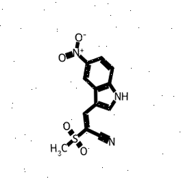 CS(=O)(=O)/C(C#N)=C/c1c[nH]c2ccc([N+](=O)[O-])cc12